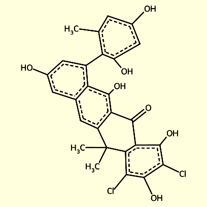 Cc1cc(O)cc(O)c1-c1cc(O)cc2cc3c(c(O)c12)C(=O)c1c(O)c(Cl)c(O)c(Cl)c1C3(C)C